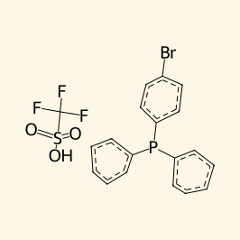 Brc1ccc(P(c2ccccc2)c2ccccc2)cc1.O=S(=O)(O)C(F)(F)F